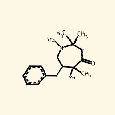 CC1(S)C(=O)[CH]C(C)(C)N(S)CC1Cc1ccccc1